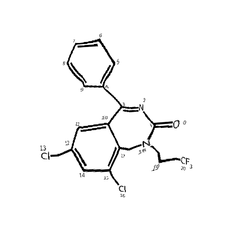 O=c1nc(-c2ccccc2)c2cc(Cl)cc(Cl)c2n1CC(F)(F)F